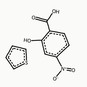 O=C(O)c1ccc([N+](=O)[O-])cc1O.c1ccsc1